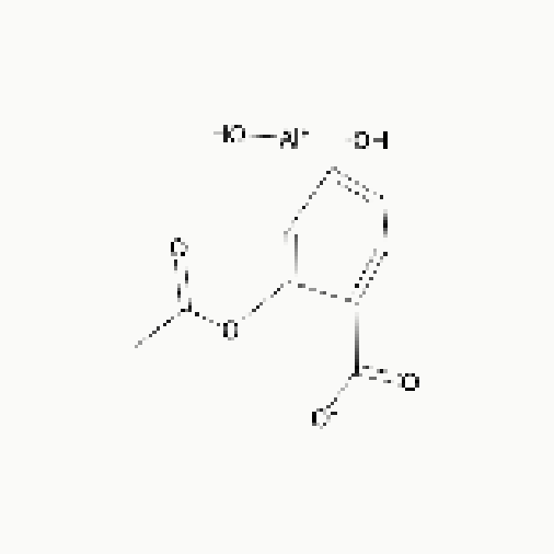 CC(=O)Oc1ccccc1C(=O)[O-].[OH][Al+][OH]